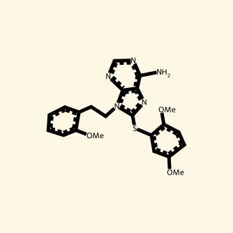 COc1ccc(OC)c(Sc2nc3c(N)ncnc3n2CCc2ccccc2OC)c1